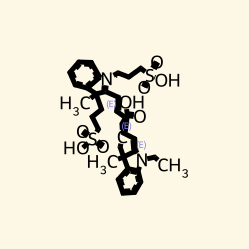 CCN1/C(=C/C=C/C=C/C2=[N+](CCCS(=O)(=O)O)c3ccccc3C2(C)CCCS(=O)(=O)O)C(C)(CCCC(=O)O)c2ccccc21